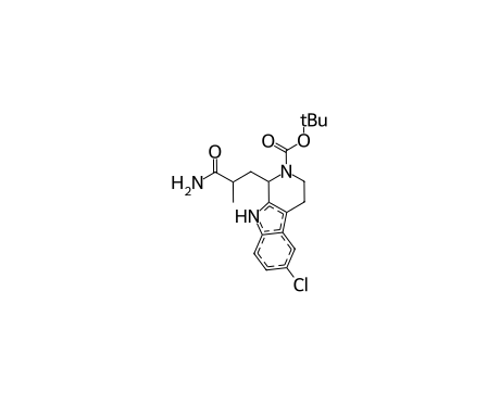 CC(CC1c2[nH]c3ccc(Cl)cc3c2CCN1C(=O)OC(C)(C)C)C(N)=O